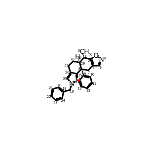 C[C@@H]1c2oncc2C[C@]2(c3ccccc3)c3nn(Cc4ccccc4)cc3CC[C@@H]12